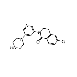 O=C1c2ccc(Cl)cc2CCN1c1cncc(N2CCNCC2)c1